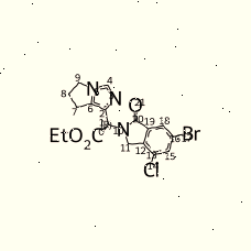 CCOC(=O)[C@@H](c1ncn2c1CCC2)N1Cc2c(Cl)cc(Br)cc2C1=O